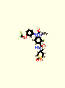 CC(C)n1c(=O)n(-c2cccc(OC(F)F)c2)c2ccc(C(=O)NC3(C)CCS(=O)(=O)CC3)c(F)c21